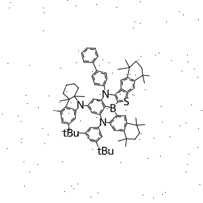 Cc1cc(C)c2c(c1)N(c1cc3c4c(c1)N(c1ccc(-c5ccccc5)cc1)c1c(sc5cc6c(cc15)C(C)(C)CCC6(C)C)B4c1cc4c(cc1N3c1cc(C(C)(C)C)cc(C(C)(C)C)c1)C(C)(C)CCC4(C)C)C1(C)CCCCC21C